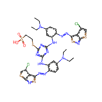 CCN(CC)c1ccc(/N=N/c2snc3scc(Cl)c23)c(Nc2nc(Nc3cc(N(CC)CC)ccc3/N=N/c3snc4scc(Cl)c34)nc(SCCS(=O)(=O)O)n2)c1